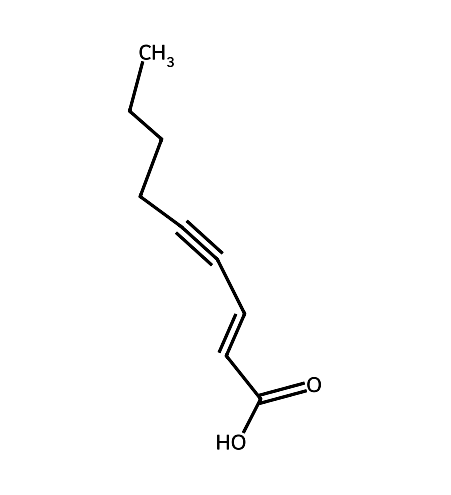 CCCCC#C/C=C/C(=O)O